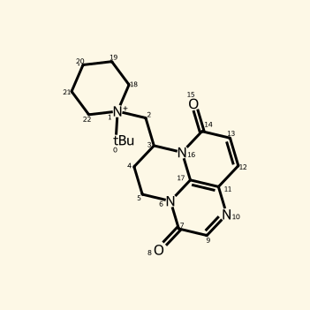 CC(C)(C)[N+]1(CC2CCn3c(=O)cnc4ccc(=O)n2c43)CC[CH]CC1